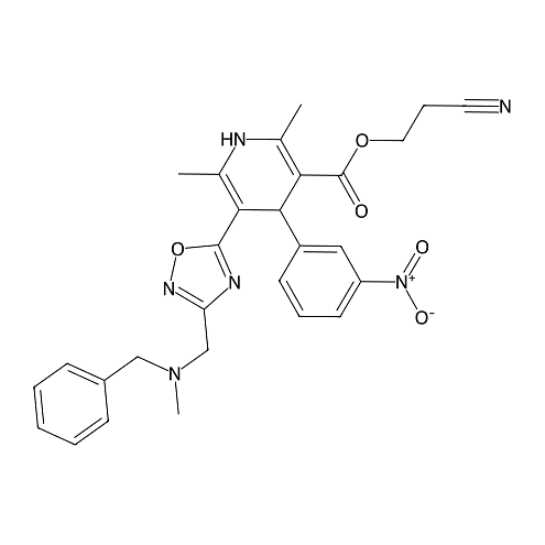 CC1=C(C(=O)OCCC#N)C(c2cccc([N+](=O)[O-])c2)C(c2nc(CN(C)Cc3ccccc3)no2)=C(C)N1